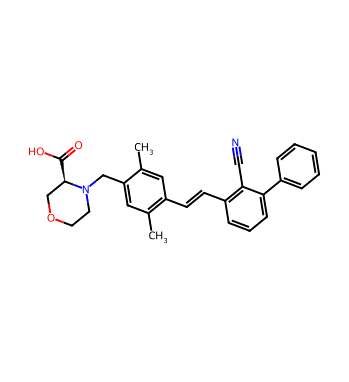 Cc1cc(CN2CCOC[C@H]2C(=O)O)c(C)cc1/C=C/c1cccc(-c2ccccc2)c1C#N